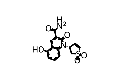 NC(=O)c1cc2c(O)cccc2n([C@@H]2C=CS(=O)(=O)C2)c1=O